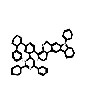 C1=CCCC(N2C3C=C4CSC5=C(C6C=CC(C7=CCCCC7c7ccccc7)=CC6C6NC(C7CCCCC7)=NC(C7C=CC=CC7)N6)CCCC5C4=CC3C3C=CCCC32)=C1